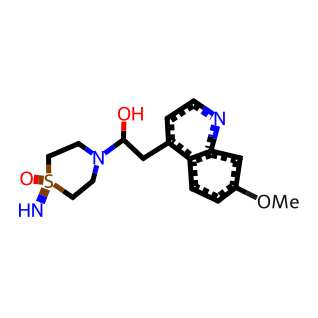 COc1ccc2c(CC(O)N3CCS(=N)(=O)CC3)ccnc2c1